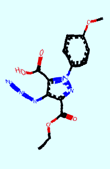 CCOC(=O)c1nn(-c2ccc(OC)cc2)c(C(=O)O)c1N=[N+]=[N-]